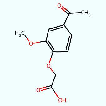 COc1cc(C(C)=O)ccc1OCC(=O)O